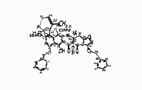 COc1cc(OCc2ccccc2)c2c(O)c3c(c4c2c1[C@]1(C4)C(C)=CCCC1(C)C)[C@H](OC)[C@H]1Cc2onc(OCc4ccccc4)c2C(=O)[C@@]1(O)C3=O